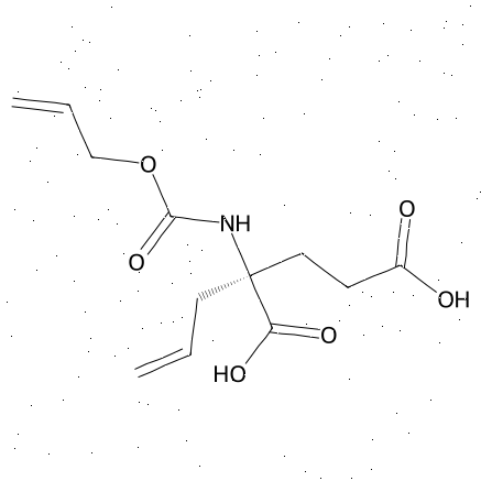 C=CCOC(=O)N[C@@](CC=C)(CCC(=O)O)C(=O)O